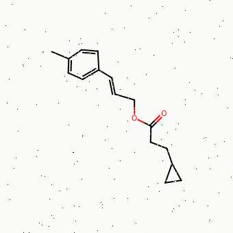 Cc1ccc(/C=C/COC(=O)CCC2CC2)cc1